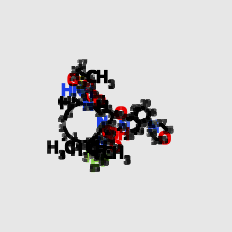 C[C@H]1CCC=C[C@@H]2C[C@@]2(C(=O)NS(=O)(=O)C2(C)CC2)NC(=O)[C@@H]2C[C@@H](Oc3nccc4c(N5CCOCC5)cccc34)CN2C(=O)[C@@H](N(C(=O)O)C(C)(C)C(F)(F)F)[C@H](C)C1